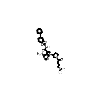 CCN(CC)CC=CC(=O)N1CCC(n2cc(C(=O)Nc3nc4cc(-c5ccccc5)ccc4o3)c3c(N)ncnc32)C1